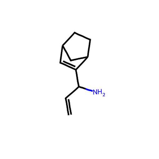 C=CC(N)C1=CC2CCC1C2